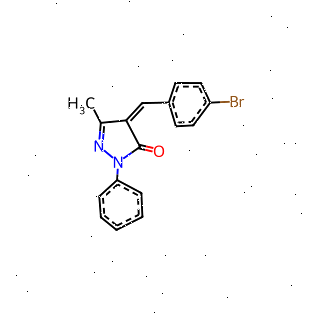 CC1=NN(c2ccccc2)C(=O)C1=Cc1ccc(Br)cc1